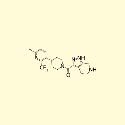 O=C(c1n[nH]c2c1CCNC2)N1CCC(c2ccc(F)cc2C(F)(F)F)CC1